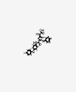 O=C(O)N[C@@H]1C[C@@H](C(=O)Nc2ccc(Oc3ccc(F)cc3)cc2)N(Cc2ccccc2)C1